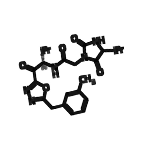 Cc1cccc(Cc2nnc(C(=O)[C@@H](NC(=O)CN3C(=O)NC(C(C)C)C3=O)C(C)C)o2)c1